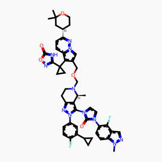 C[C@H]1c2c(nn(-c3ccc(F)c(C4CC4)c3)c2-n2ccn(-c3ccc4c(cnn4C)c3F)c2=O)CCN1COCc1cn2nc([C@H]3CCOC(C)(C)C3)ccc2c1C1(c2noc(=O)[nH]2)CC1